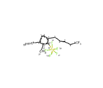 CCCCCc1ccc(CCCCC(F)(F)F)c(S(F)(F)(F)(F)F)c1C